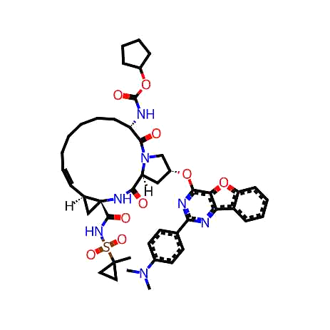 CN(C)c1ccc(-c2nc(O[C@@H]3C[C@H]4C(=O)N[C@]5(C(=O)NS(=O)(=O)C6(C)CC6)C[C@H]5/C=C\CCCCC[C@H](NC(=O)OC5CCCC5)C(=O)N4C3)c3oc4ccccc4c3n2)cc1